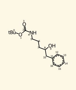 CC(C)(C)OC(=O)NCCCC(O)Cc1ccccc1